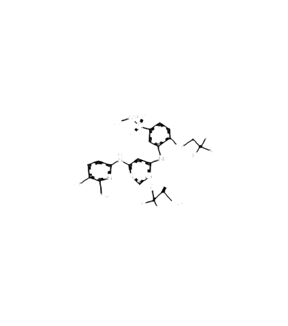 CNS(=O)(=O)c1ccc(OCC(F)(F)F)c(Nc2cc(Nc3ccc(Cl)c(C)n3)ncn2)c1.O=C(O)C(F)(F)F